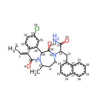 CC=CC(=O)N1C(C)CCN(C(Cc2cccc3ccccc23)C(N)=O)C(=O)C1c1cccc(Cl)c1